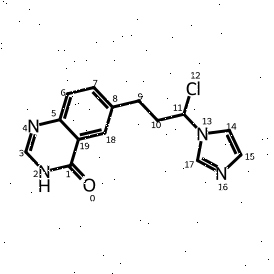 O=c1[nH]cnc2ccc(CCC(Cl)n3ccnc3)cc12